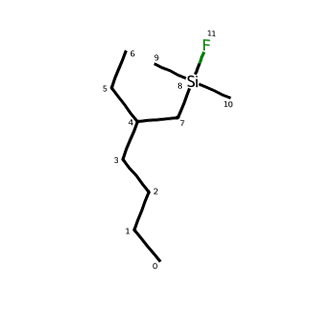 CCCCC(CC)C[Si](C)(C)F